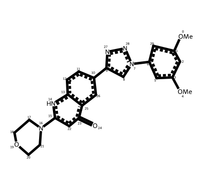 COc1cc(OC)cc(-n2cc(-c3ccc4[nH]c(N5CCOCC5)cc(=O)c4c3)nn2)c1